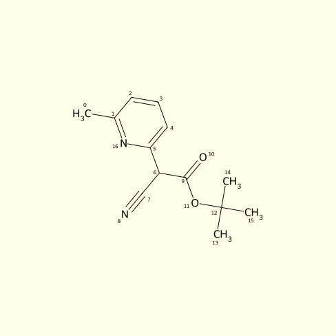 Cc1cccc(C(C#N)C(=O)OC(C)(C)C)n1